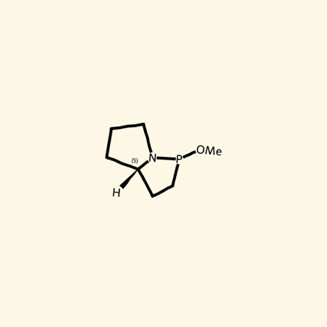 COP1CC[C@@H]2CCCN21